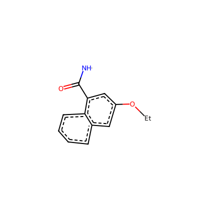 CCOc1cc(C([NH])=O)c2ccccc2c1